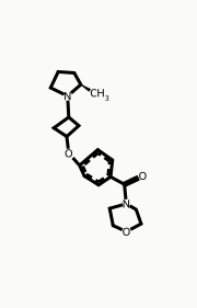 C[C@@H]1CCCN1C1CC(Oc2ccc(C(=O)N3CCOCC3)cc2)C1